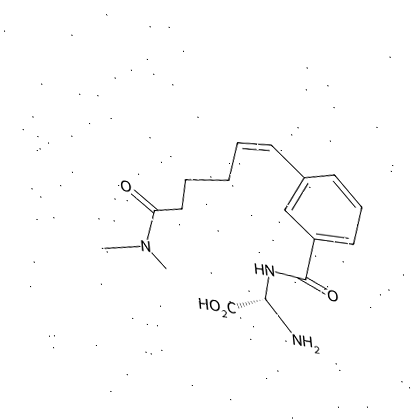 CN(C)C(=O)CCC/C=C\c1cccc(C(=O)N[C@H](N)C(=O)O)c1